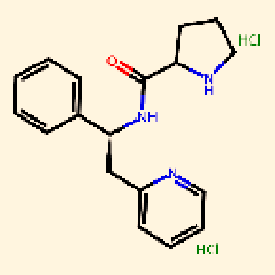 Cl.Cl.O=C(N[C@@H](Cc1ccccn1)c1ccccc1)C1CCCN1